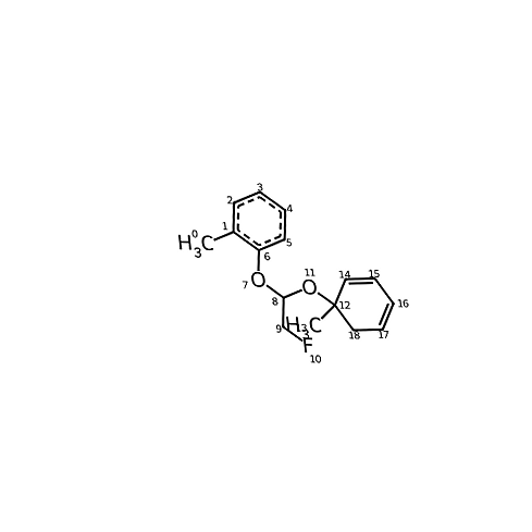 Cc1ccccc1OC(CF)OC1(C)C=CC=CC1